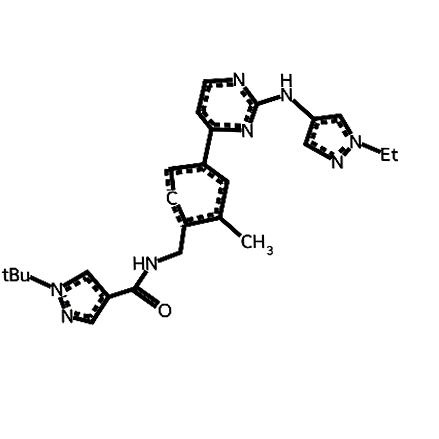 CCn1cc(Nc2nccc(-c3ccc(CNC(=O)c4cnn(C(C)(C)C)c4)c(C)c3)n2)cn1